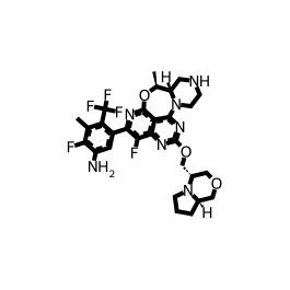 Cc1c(F)c(N)cc(-c2nc3c4c(nc(OC[C@@H]5COC[C@H]6CCCN65)nc4c2F)N2CCNC[C@H]2[C@H](C)O3)c1C(F)(F)F